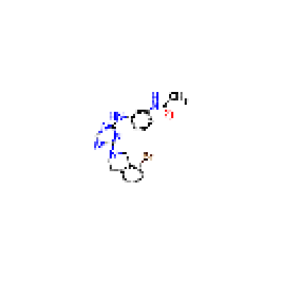 CC(=O)Nc1cccc(Nc2ncnc(N3CCc4cccc(Br)c4C3)n2)c1